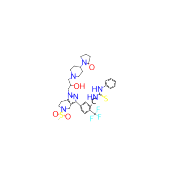 CS(=O)(=O)N1CCc2c(c(-c3ccc(C(F)(F)F)c(CNC(=S)Nc4ccccc4)c3)nn2CC(O)CN2CCC(N3CCCC3=O)CC2)C1